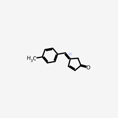 Cc1ccc(/C=C2\C=CC(=O)C2)cc1